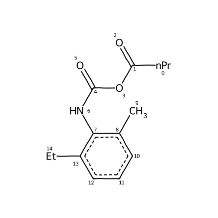 CCCC(=O)OC(=O)Nc1c(C)cccc1CC